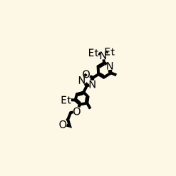 CCc1cc(-c2noc(-c3cc(C)nc(N(CC)CC)c3)n2)cc(C)c1OCC1CO1